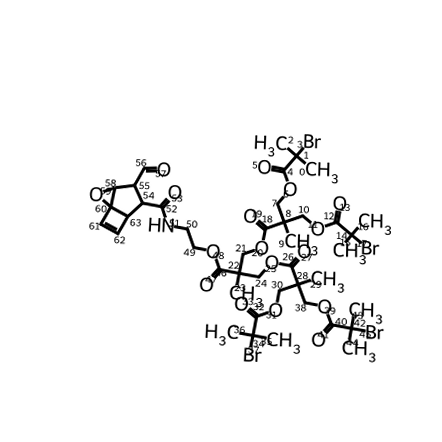 CC(C)(Br)C(=O)OCC(C)(COC(=O)C(C)(C)Br)C(=O)OCC(C)(COC(=O)C(C)(COC(=O)C(C)(C)Br)COC(=O)C(C)(C)Br)C(=O)OCCNC(=O)C1C(C=O)C2OC23C=CC13